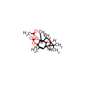 CC(=O)O[C@H]1C(C)=C[C@]23C(=O)[C@@H](C=C(C)[C@H]4OC(=O)O[C@@]412)[C@H]1[C@@H](C[C@H]3C)C1(C)C